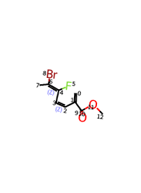 C=C(/C=C\C(F)=C(/C)Br)C(=O)OC